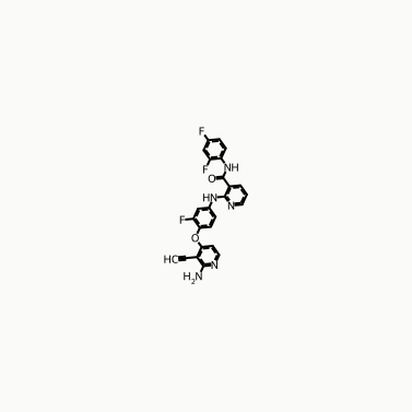 C#Cc1c(Oc2ccc(Nc3ncccc3C(=O)Nc3ccc(F)cc3F)cc2F)ccnc1N